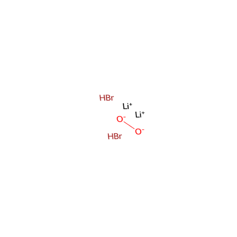 Br.Br.[Li+].[Li+].[O-][O-]